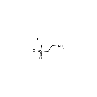 Cl.NCCS(=O)(=O)Cl